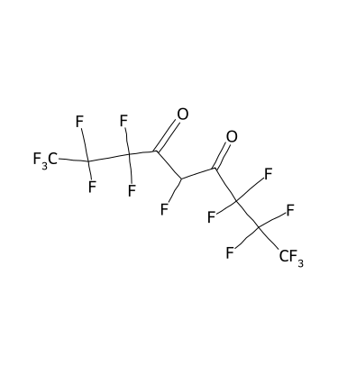 O=C(C(F)C(=O)C(F)(F)C(F)(F)C(F)(F)F)C(F)(F)C(F)(F)C(F)(F)F